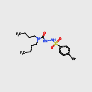 CC(C)c1ccc(S(=O)(=O)NNC(=O)N(CCCC(F)(F)F)CCCC(F)(F)F)cc1